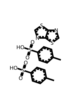 Cc1ccc(S(=O)(=O)O)cc1.Cc1ccc(S(=O)(=O)O)cc1.c1nc2scnc2s1